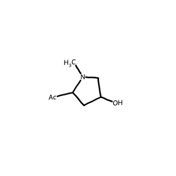 CC(=O)C1CC(O)CN1C